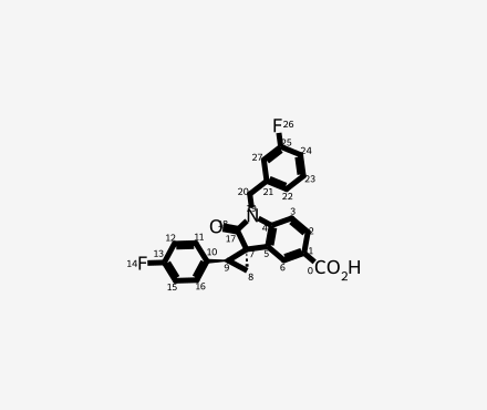 O=C(O)c1ccc2c(c1)[C@]1(C[C@H]1c1ccc(F)cc1)C(=O)N2Cc1cccc(F)c1